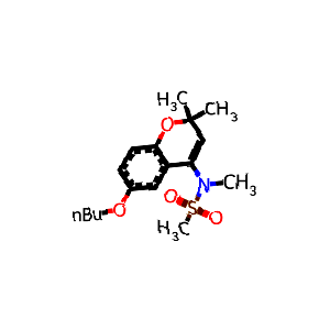 CCCCOc1ccc2c(c1)C(N(C)S(C)(=O)=O)=CC(C)(C)O2